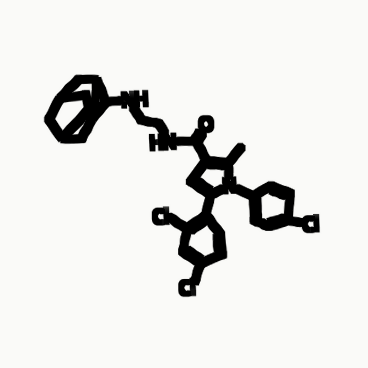 Cc1c(C(=O)NCCNC2C3CC4CC(C3)CC2C4)cc(-c2ccc(Cl)cc2Cl)n1-c1ccc(Cl)cc1